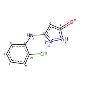 O=c1cc(Nc2ccccc2Cl)[nH][nH]1